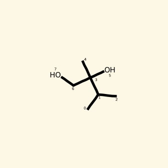 CC(C)C(C)(O)CO